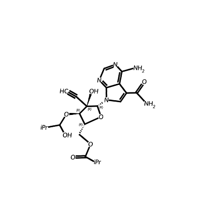 C#C[C@@]1(O)[C@H](OC(O)C(C)C)[C@@H](COC(=O)C(C)C)O[C@H]1n1cc(C(N)=O)c2c(N)ncnc21